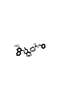 CC1Cc2c(ncnc2N2CCN(C(=O)OCc3ccccc3)CC2)CN1c1cc(O)cc2ccccc12